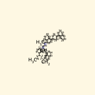 C=CCCC(CCC)C1CC=C[C@H](/C(=C/C=C(\C)C2CCC(C3=CC=C(C4=C5C=CCCC5=CCC4)CC3)=C3C=CCCC32)CNC2=C3CCCCC3CCC2)C1